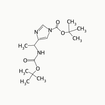 CC(NC(=O)OC(C)(C)C)c1cn(C(=O)OC(C)(C)C)cn1